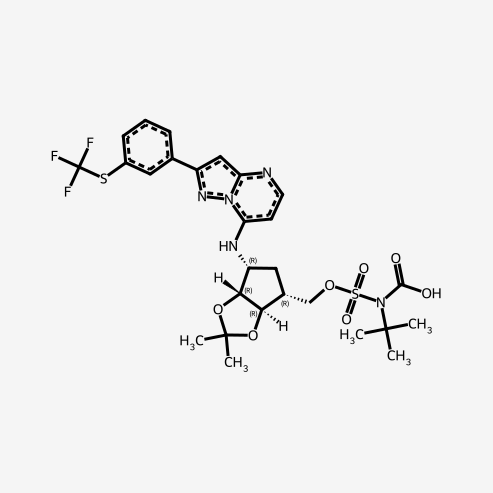 CC1(C)O[C@@H]2[C@@H](COS(=O)(=O)N(C(=O)O)C(C)(C)C)C[C@@H](Nc3ccnc4cc(-c5cccc(SC(F)(F)F)c5)nn34)[C@H]2O1